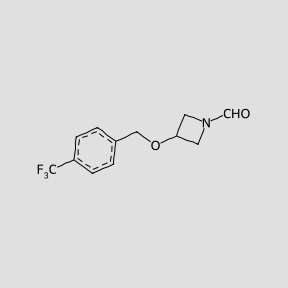 O=CN1CC(OCc2ccc(C(F)(F)F)cc2)C1